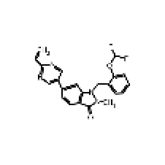 C=Cc1ncc(-c2ccc3c(=O)n(C)n(Cc4ccccc4OC(F)F)c3c2)cn1